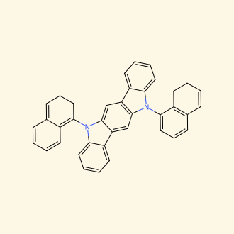 C1=Cc2cccc(-n3c4ccccc4c4cc5c(cc43)c3ccccc3n5C3=c4ccccc4=CCC3)c2CC1